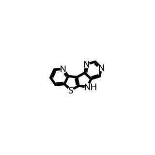 c1cnc2c(c1)sc1[nH]c3cncnc3c12